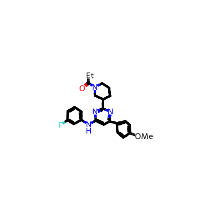 CCC(=O)N1CCCC(c2nc(Nc3cccc(F)c3)cc(-c3ccc(OC)cc3)n2)C1